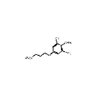 CCOC(=O)CCCOc1cc(C)c(NC(C)=O)c([N+](=O)[O-])c1